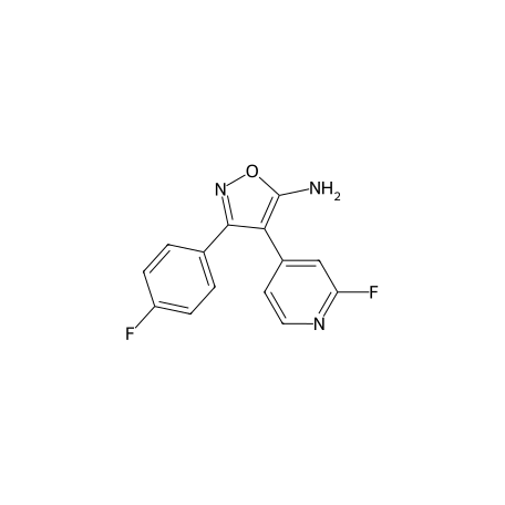 Nc1onc(-c2ccc(F)cc2)c1-c1ccnc(F)c1